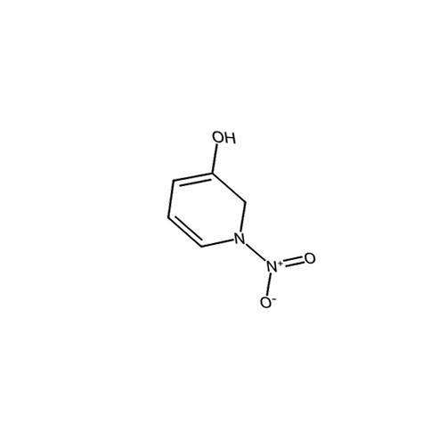 O=[N+]([O-])N1C=CC=C(O)C1